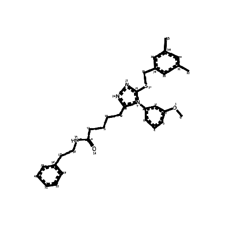 COc1cccc(-n2c(CCCCC(=O)NCCc3ccccc3)nnc2SCc2cc(C)cc(C)c2)c1